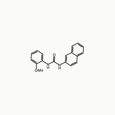 COc1ccccc1NC(=O)Nc1ccc2ccccc2c1